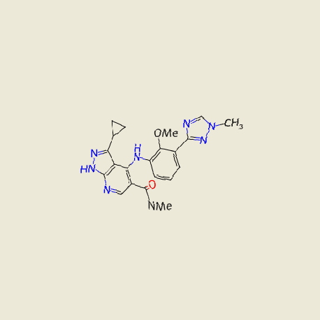 CNC(=O)c1cnc2[nH]nc(C3CC3)c2c1Nc1cccc(-c2ncn(C)n2)c1OC